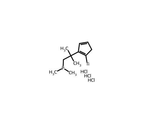 CP(C)CC(C)(C)C1=[C]([Ti])CC=C1.Cl.Cl.Cl